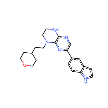 c1cc2cc(-c3cnc4c(n3)N(CCC3CCOCC3)CCN4)ccc2[nH]1